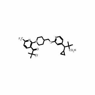 CCC(C)(C)C(=O)c1ccc(C(F)(F)F)nc1N1CCC(COc2cc(C(C3CC3)C(C)(C)C(=O)O)ccn2)CC1